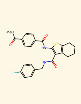 COC(=O)c1ccc(C(=O)Nc2sc3c(c2C(=O)NCc2ccc(F)cc2)CCCC3)cc1